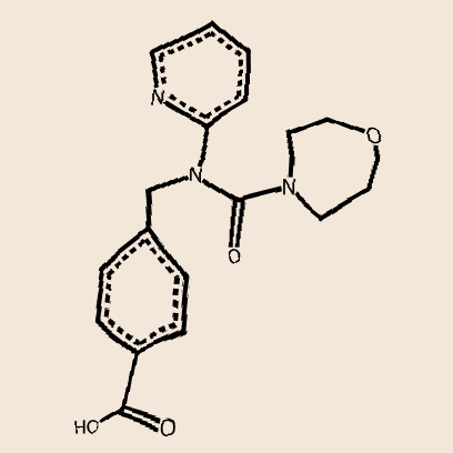 O=C(O)c1ccc(CN(C(=O)N2CCOCC2)c2ccccn2)cc1